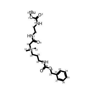 CC(C)(C)OC(=O)NCCNC(=O)C[N+](C)(C)CCCNC(=O)OCc1ccccc1